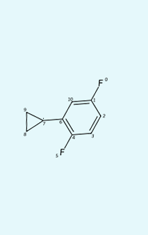 Fc1ccc(F)c([C]2CC2)c1